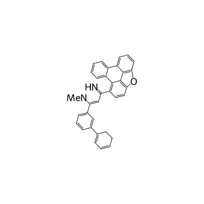 CN/C(=C\C(=N)c1ccc2oc3cccc4c5ccccc5c1c2c34)c1cccc(C2=CC=CCC2)c1